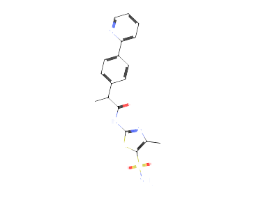 Cc1nc(NC(=O)C(C)c2ccc(-c3ccccn3)cc2)sc1S(N)(=O)=O